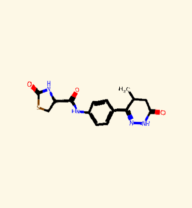 CC1CC(=O)NN=C1c1ccc(NC(=O)C2CSC(=O)N2)cc1